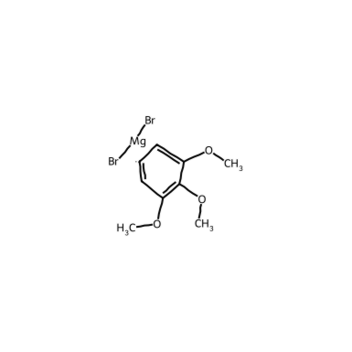 COc1c[c]cc(OC)c1OC.[Br][Mg][Br]